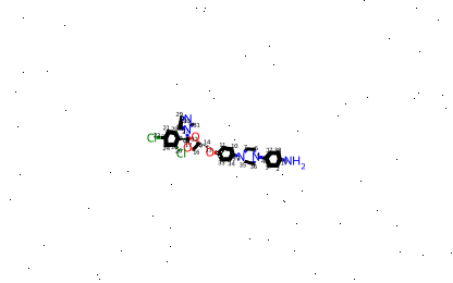 Nc1ccc(N2CCN(c3ccc(OC[C@@H]4CO[C@](c5ccc(Cl)cc5Cl)(n5ccnc5)O4)cc3)CC2)cc1